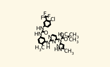 Cc1cc(N(C(=O)OC(C)(C)C)c2ccnc(Nc3cc(NC(=O)Nc4ccc(Cl)c(C(F)(F)F)c4)ccc3C)n2)n[nH]1